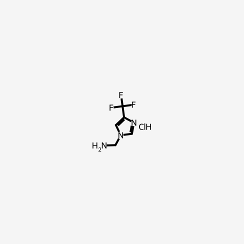 Cl.NCn1cnc(C(F)(F)F)c1